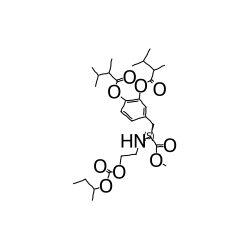 CCC(C)OC(=O)OCCN[C@@H](Cc1ccc(OC(=O)C(C)C(C)C)c(OC(=O)C(C)C(C)C)c1)C(=O)OC